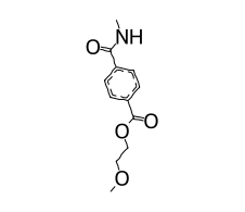 CNC(=O)c1ccc(C(=O)OCCOC)cc1